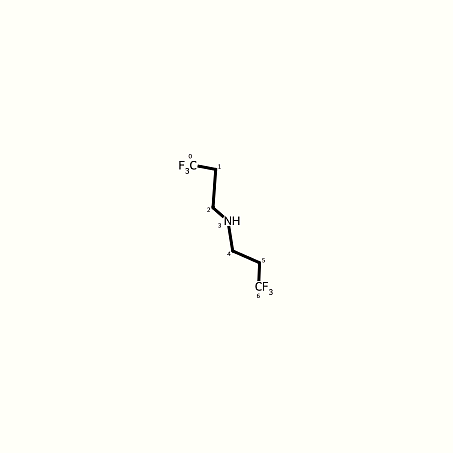 FC(F)(F)CCNCCC(F)(F)F